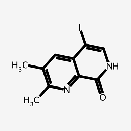 Cc1cc2c(I)c[nH]c(=O)c2nc1C